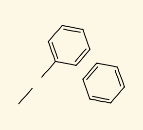 CC.Cc1ccccc1.c1ccccc1